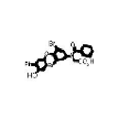 CCc1cc(Oc2c(Br)cc(N(CC(=O)O)C(=O)c3ccccc3)cc2Br)ccc1O